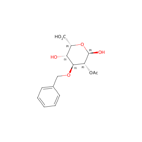 CC(=O)O[C@@H]1[C@@H](OCc2ccccc2)[C@H](O)[C@H](C(=O)O)O[C@H]1O